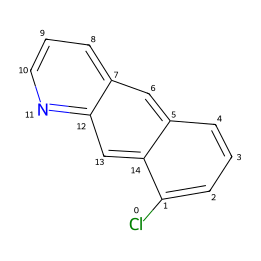 Clc1cccc2cc3cccnc3cc12